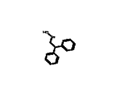 [OH][Sn][CH2]C(c1ccccc1)c1ccccc1